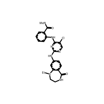 CCN1CCNC(=O)c2ccc(Nc3ncc(Cl)c(Nc4ccccc4C(=O)NC)n3)cc21